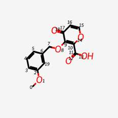 COc1cccc(COc2c(C(=O)O)occc2=O)c1